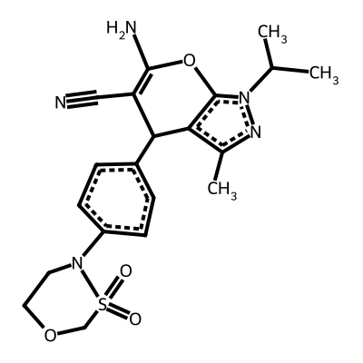 Cc1nn(C(C)C)c2c1C(c1ccc(N3CCOCS3(=O)=O)cc1)C(C#N)=C(N)O2